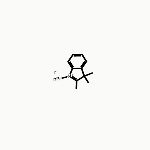 CCC[N+]1=C(C)C(C)(C)c2ccccc21.[I-]